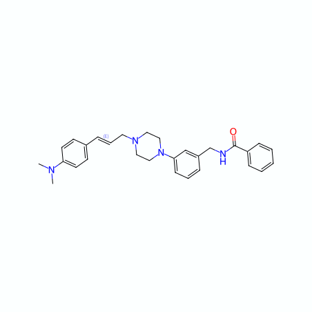 CN(C)c1ccc(/C=C/CN2CCN(c3cccc(CNC(=O)c4ccccc4)c3)CC2)cc1